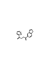 C=C(CCC(=C)c1cccs1)c1ccc2c(c1)C=CC2